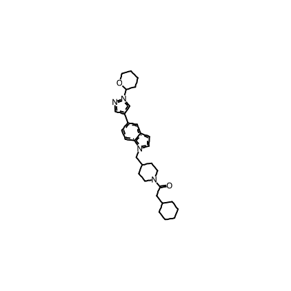 O=C(CC1CCCCC1)N1CCC(Cn2ccc3cc(-c4cnn(C5CCCCO5)c4)ccc32)CC1